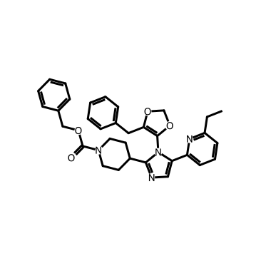 CCc1cccc(-c2cnc(C3CCN(C(=O)OCc4ccccc4)CC3)n2C2=C(Cc3ccccc3)OCO2)n1